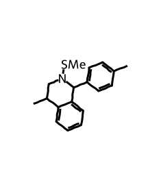 CSN1CC(C)c2ccccc2C1c1ccc(C)cc1